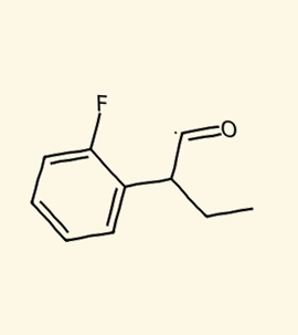 CCC([C]=O)c1ccccc1F